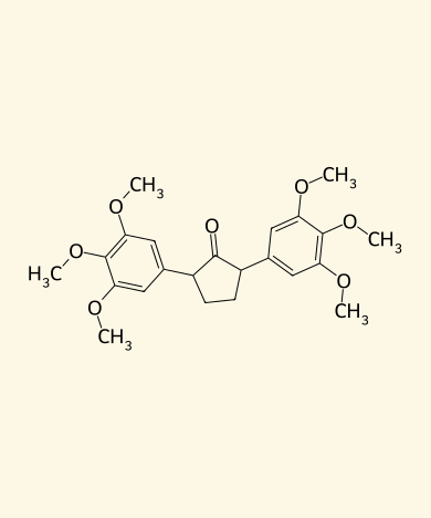 COc1cc(C2CCC(c3cc(OC)c(OC)c(OC)c3)C2=O)cc(OC)c1OC